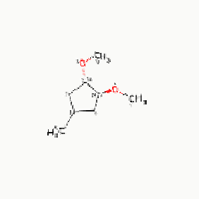 CO[C@H]1CC(C)C[C@@H]1OC